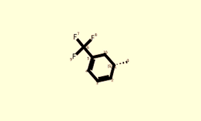 C[C@@H]1C=CC=C(C(F)(F)F)C1